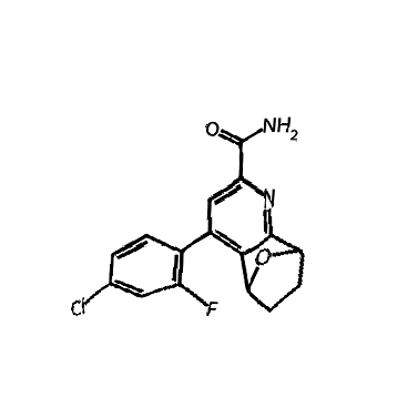 NC(=O)c1cc(-c2ccc(Cl)cc2F)c2c(n1)C1CCC2O1